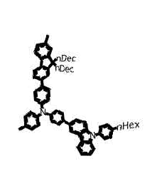 CCCCCCCCCCC1(CCCCCCCCCC)c2cc(C)ccc2-c2ccc(-c3ccc(N(c4ccc(C)cc4)c4ccc(-c5ccc6c(c5)c5ccccc5n6-c5ccc(CCCCCC)cc5)cc4)cc3)cc21